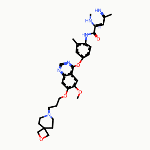 CN/C(=C\C(C)=N)C(=O)Nc1ccc(Oc2ncnc3cc(OCCCN4CCC5(CC4)COC5)c(OC)cc23)cc1C